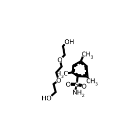 Cc1cc(C)c(S(N)(=O)=O)c(C)c1.OCCOCCOCCO